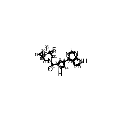 O=C(c1cc(-c2ncnc3[nH]ccc23)c[nH]1)N(CC1CC1)CC(F)(F)F